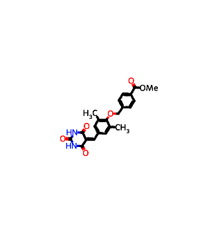 COC(=O)c1ccc(COc2c(C)cc(C=C3C(=O)NC(=O)NC3=O)cc2C)cc1